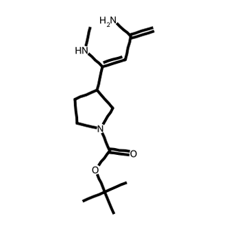 C=C(N)/C=C(\NC)C1CCN(C(=O)OC(C)(C)C)C1